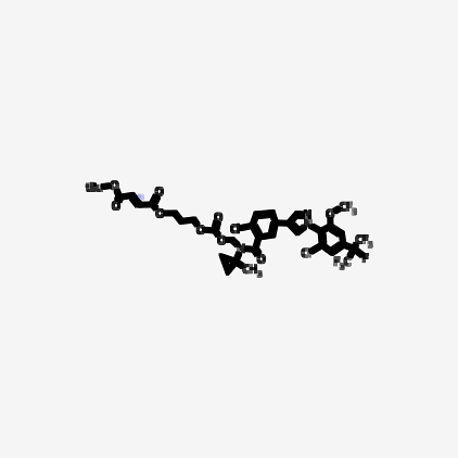 CC(C)(C)OC(=O)/C=C/C(=O)OCCCOC(=O)OCN(C(=O)c1cc(-c2cnn(-c3c(Cl)cc(C(F)(C(F)(F)F)C(F)(F)F)cc3OC(F)(F)F)c2)ccc1Cl)C1(C)CC1